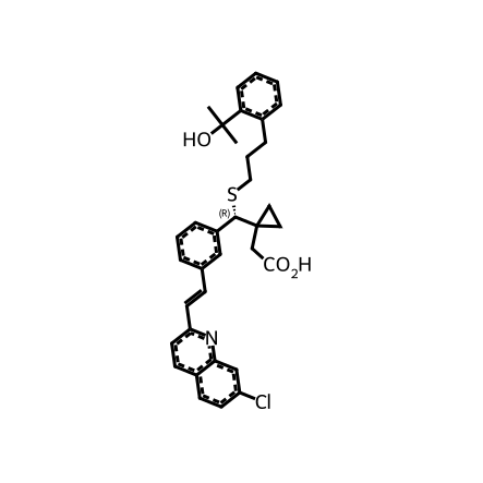 CC(C)(O)c1ccccc1CCCS[C@@H](c1cccc(C=Cc2ccc3ccc(Cl)cc3n2)c1)C1(CC(=O)O)CC1